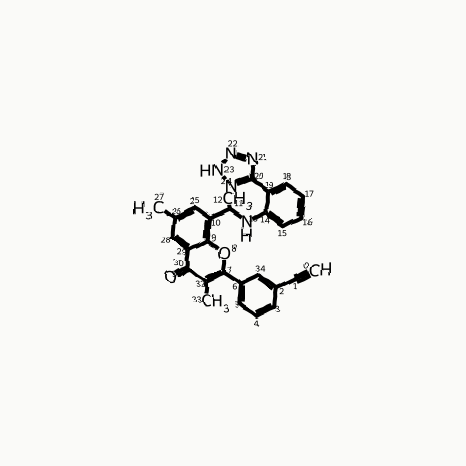 C#Cc1cccc(-c2oc3c(C(C)Nc4ccccc4-c4nn[nH]n4)cc(C)cc3c(=O)c2C)c1